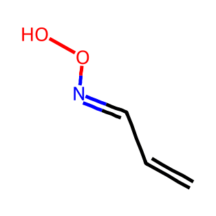 C=CC=NOO